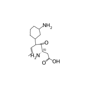 CC=CC(C(=O)[C@@H](N)CC(=O)O)C1CCCC(N)C1